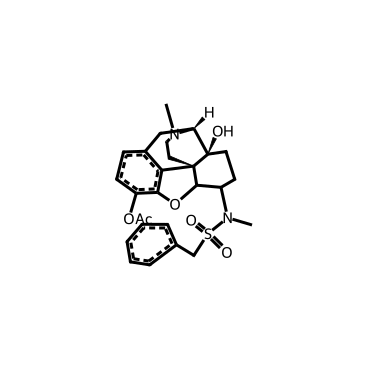 CC(=O)Oc1ccc2c3c1OC1C(N(C)S(=O)(=O)Cc4ccccc4)CC[C@@]4(O)[C@@H](C2)N(C)CC[C@]314